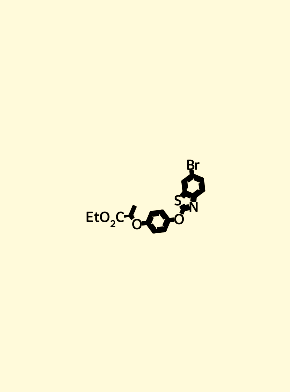 CCOC(=O)[C@@H](C)Oc1ccc(Oc2nc3ccc(Br)cc3s2)cc1